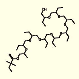 CCC(CO)OCC(CC)OCC(CC)OCC(CC)OCC(CC)OCC(CC)OCC(CC)OCC(CC)OC(C)COC(=O)C(C)(C)CC